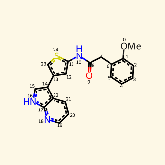 COc1ccccc1CC(=O)Nc1cc(-c2c[nH]c3ncccc23)cs1